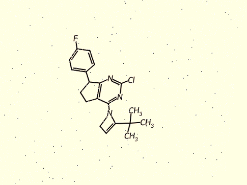 CC(C)(C)C1=CCN1c1nc(Cl)nc2c1CCC2c1ccc(F)cc1